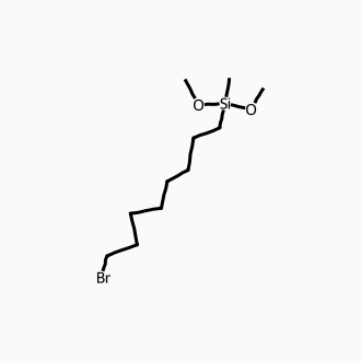 CO[Si](C)(CCCCCCCCBr)OC